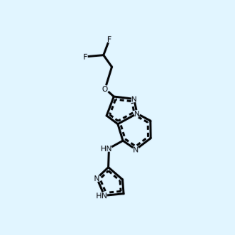 FC(F)COc1cc2c(Nc3cc[nH]n3)nccn2n1